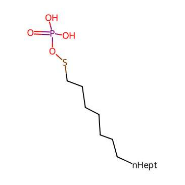 CCCCCCCCCCCCCCSOP(=O)(O)O